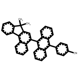 CC1(C)c2ccccc2-c2c1cc(-c1c3ccccc3c(-c3ccc(C#N)cc3)c3ccccc13)c1ccccc21